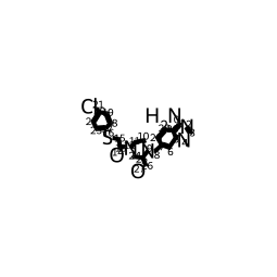 Nc1ncnc2cc(CN3CCN(C(=O)CSc4ccc(Cl)cc4)CC3C=O)ccc12